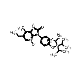 CCc1c[n+]([O-])c2c([nH]c(=O)n2-c2ccc(O[Si](C(C)C)(C(C)C)C(C)C)cc2)c1C